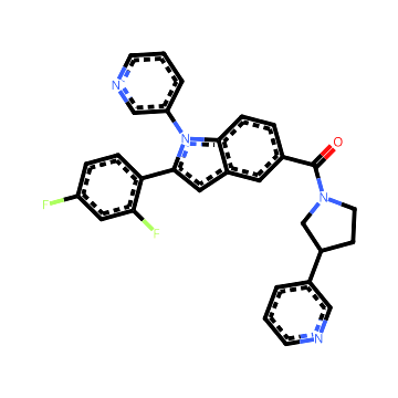 O=C(c1ccc2c(c1)cc(-c1ccc(F)cc1F)n2-c1cccnc1)N1CCC(c2cccnc2)C1